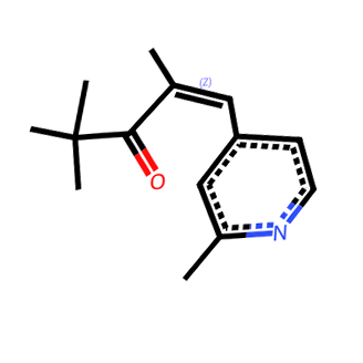 C/C(=C/c1ccnc(C)c1)C(=O)C(C)(C)C